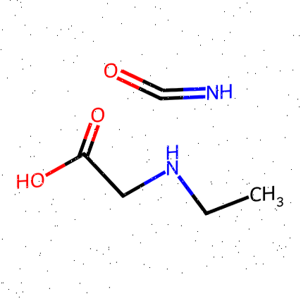 CCNCC(=O)O.N=C=O